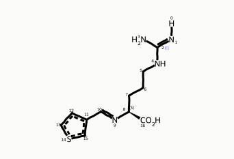 [H]/N=C(\N)NCCC[C@H](N=Cc1ccsc1)C(=O)O